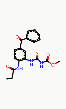 CCC(=O)Nc1ccc(C(=O)c2ccccc2)cc1NC(=S)NC(=O)OC